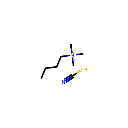 CCCC[N+](C)(C)C.N#CS